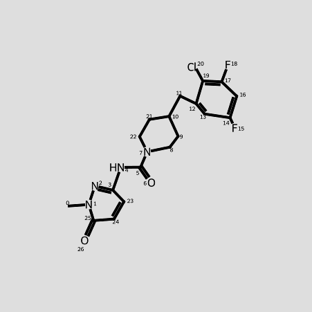 Cn1nc(NC(=O)N2CCC(Cc3cc(F)cc(F)c3Cl)CC2)ccc1=O